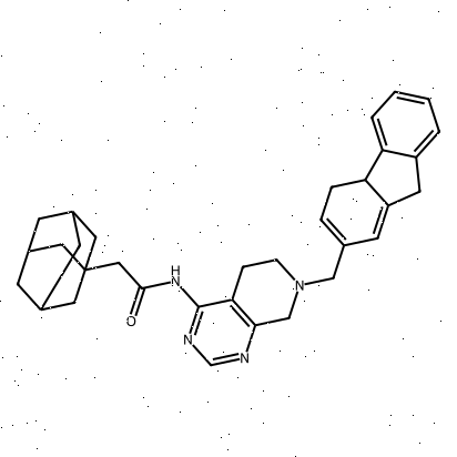 O=C(CC12CC3CC(CC(C3)C1)C2)Nc1ncnc2c1CCN(CC1=CCC3C(=C1)Cc1ccccc13)C2